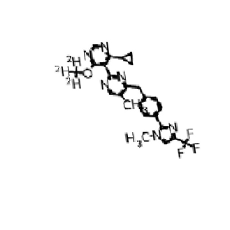 [2H]C([2H])([2H])Oc1ncnc(C2CC2)c1-c1ncc(C)c(Cc2ccc(-c3nc(C(F)(F)F)cn3C)cc2)n1